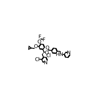 O=C(O[C@@H](Cc1c(Cl)cncc1Cl)c1ccc(OC(F)F)c(OCC2CC2)c1)c1ccc(CNc2cccnc2)cc1